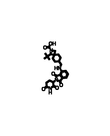 CC(C)(C)C1N(C(=O)O)CC12CCC(CNc1cccc3c1C(=O)N(C1CCC(=O)NC1=O)C3=O)CC2